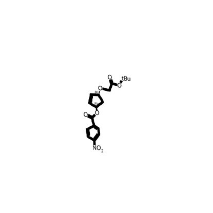 CC(C)(C)OC(=O)CO[C@H]1C=C[C@H](OC(=O)c2ccc([N+](=O)[O-])cc2)C1